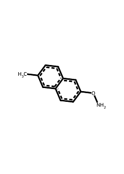 Cc1ccc2cc(ON)ccc2c1